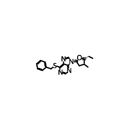 CC[C@H]1O[C@@H](n2cnc3c(SCc4ccccc4)ncnc32)CC1C